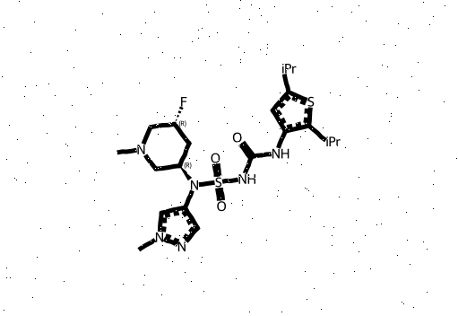 CC(C)c1cc(NC(=O)NS(=O)(=O)N(c2cnn(C)c2)[C@@H]2C[C@@H](F)CN(C)C2)c(C(C)C)s1